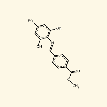 COC(=O)c1ccc(C=Nc2c(O)cc(O)cc2O)cc1